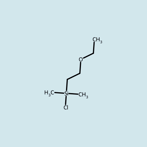 CCOCC[Si](C)(C)Cl